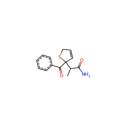 CC(C(N)=O)C1(C(=O)c2ccccc2)C=CCS1